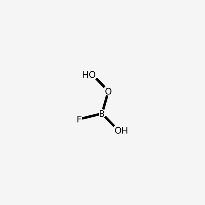 OOB(O)F